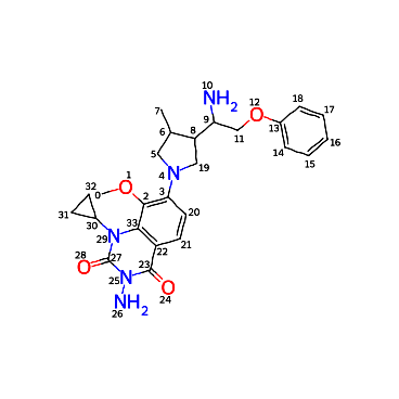 COc1c(N2CC(C)C(C(N)COc3ccccc3)C2)ccc2c(=O)n(N)c(=O)n(C3CC3)c12